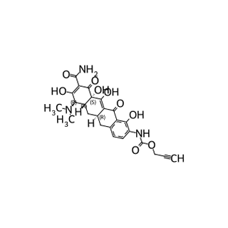 C#CCOC(=O)Nc1ccc2c(c1O)C(=O)C1=C(O)[C@]3(O)C(=O)C(C(N)=O)=C(O)[C@H](N(C)C)[C@H]3C[C@@H]1C2